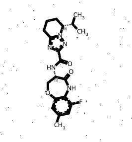 Cc1cc(F)c2c(c1)OC[C@H](NC(=O)c1nc3n(n1)[C@@H](C(C)C)CCC3)C(=O)N2